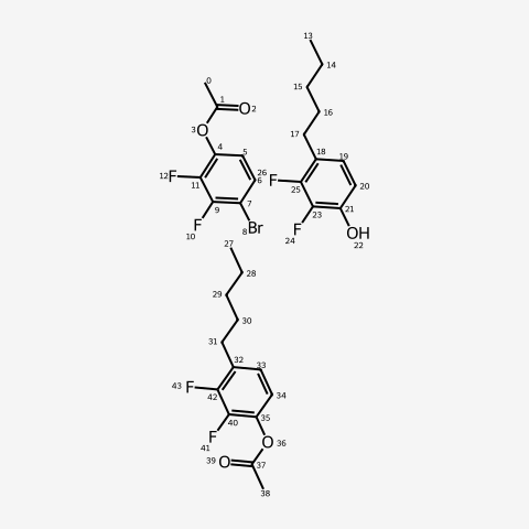 CC(=O)Oc1ccc(Br)c(F)c1F.CCCCCc1ccc(O)c(F)c1F.CCCCCc1ccc(OC(C)=O)c(F)c1F